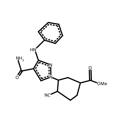 COC(=O)C1CCC(C#N)C(n2cc(C(N)=O)c(Nc3ccccc3)n2)C1